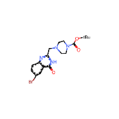 CC(C)(C)OC(=O)N1CCN(Cc2nc3ccc(Br)cc3c(=O)[nH]2)CC1